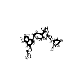 COCOc1cc(N2CCc3c(O)nc(OC[C@@H]4CCCN4C)nc3C2)c2ccccc2c1